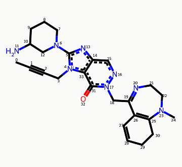 CC#CCn1c(N2CCCC(N)C2)nc2cnn(CC3=NCCN(C)C4=C3C=CCC4)c(=O)c21